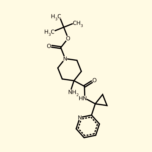 CC(C)(C)OC(=O)N1CCC(N)(C(=O)NC2(c3ccccn3)CC2)CC1